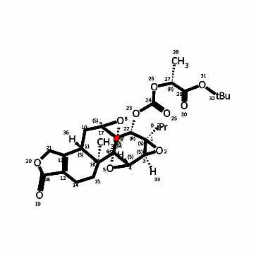 CC(C)[C@]12O[C@H]1[C@@H]1O[C@]13[C@]1(O[C@H]1C[C@H]1C4=C(CC[C@@]13C)C(=O)OC4)[C@@H]2OC(=O)O[C@H](C)C(=O)OC(C)(C)C